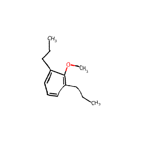 CCCc1cccc(CCC)c1OC